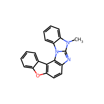 Cn1c2ccccc2n2c3c(ccc4oc5ccccc5c43)nc12